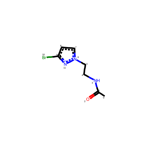 CC(=O)NCCn1ccc(Br)n1